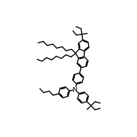 CCCCCCCCC1(CCCCCCCC)c2cc(-c3ccc(N(c4ccc(CCCC)cc4)c4ccc(C(C)(CC)CC)cc4)cc3)ccc2-c2ccc(C(C)(CC)CC)cc21